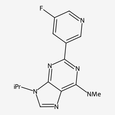 CNc1nc(-c2cncc(F)c2)nc2c1ncn2C(C)C